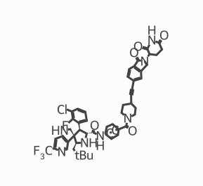 CC(C)(C)C[C@@H]1N[C@@H](C(=O)NC23CCC(C(=O)N4CCC(C#Cc5ccc6c(c5)CN(C5CCC(=O)NC5=O)C6=O)CC4)(CC2)CC3)[C@H](c2cccc(Cl)c2F)[C@]12CNc1cc(C(F)(F)F)ncc12